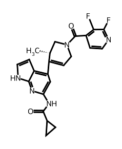 C[C@@H]1CN(C(=O)c2ccnc(F)c2F)CC=C1c1cc(NC(=O)C2CC2)nc2[nH]ccc12